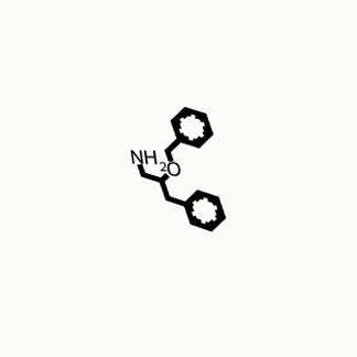 NCC(Cc1ccccc1)OCc1ccccc1